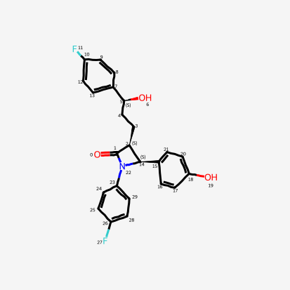 O=C1[C@@H](CC[C@H](O)c2ccc(F)cc2)[C@@H](c2ccc(O)cc2)N1c1ccc(F)cc1